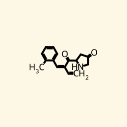 C=CC(=Cc1ccccc1C)C(=O)C1CC(=O)CN1